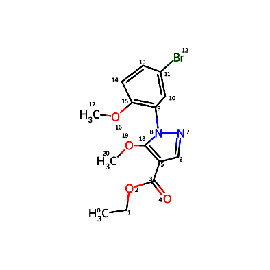 CCOC(=O)c1cnn(-c2cc(Br)ccc2OC)c1OC